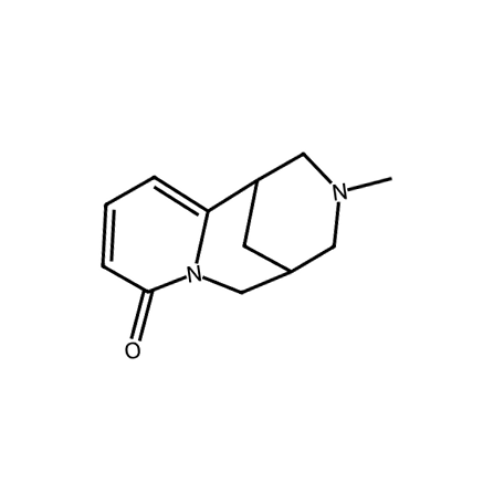 CN1CC2CC(C1)c1cccc(=O)n1C2